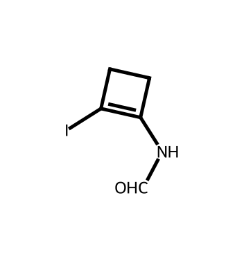 O=CNC1=C(I)CC1